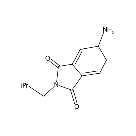 CC(C)CN1C(=O)C2=CCC(N)C=C2C1=O